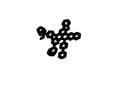 CCC1(c2ccc3c(c2)c2cc(C45CCC6CC(CC6C4)C5)cc4c2n3-c2cc3c(sc5ccccc53)c3c2B4N(c2ccc(-c4ccccc4)cc2)c2cc4ccccc4cc2-3)CC2CCC(C2)C1